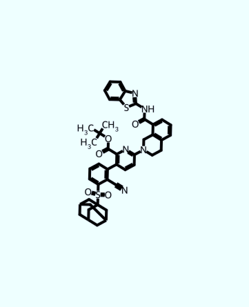 CC(C)(C)OC(=O)c1nc(N2CCc3cccc(C(=O)Nc4nc5ccccc5s4)c3C2)ccc1-c1cccc(S(=O)(=O)C23CC4CC(CC(C4)C2)C3)c1C#N